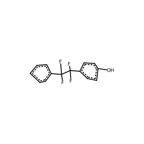 Oc1ccc(C(F)(F)C(F)(F)c2ccccc2)cc1